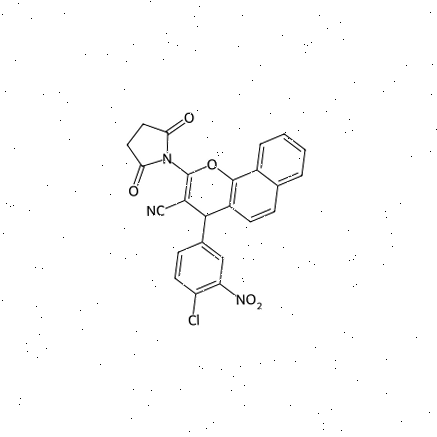 N#CC1=C(N2C(=O)CCC2=O)Oc2c(ccc3ccccc23)C1c1ccc(Cl)c([N+](=O)[O-])c1